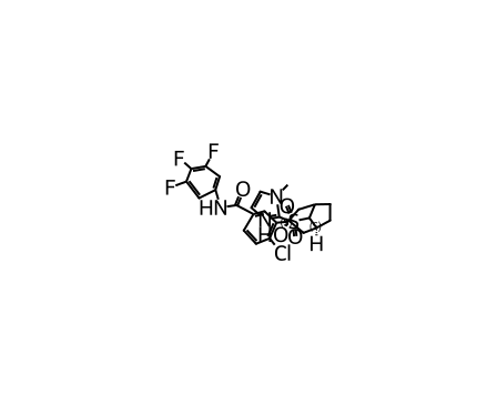 Cn1ccnc1[C@]1(O)CC2CC[C@@H](C1)C2S(=O)(=O)c1cc(C(=O)Nc2cc(F)c(F)c(F)c2)ccc1Cl